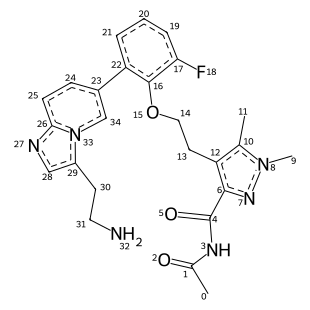 CC(=O)NC(=O)c1nn(C)c(C)c1CCOc1c(F)cccc1-c1ccc2ncc(CCN)n2c1